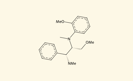 CN[C@H](c1ccccc1)[C@@H](COC)N(C)c1ccccc1OC